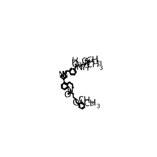 Cc1cccc(OCCCC(=O)N2CCCc3c(-c4cnn(Cc5cccc(C(=O)NCC[N+](C)(C)C)c5)c4)cccc32)c1C